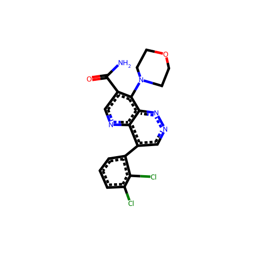 NC(=O)c1cnc2c(-c3cccc(Cl)c3Cl)cnnc2c1N1CCOCC1